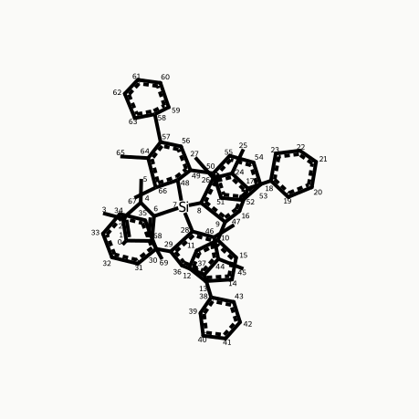 CC1=C(C)C(C)C([Si](c2c(-c3ccccc3)cc(-c3ccccc3)c(C)c2C)(c2c(-c3ccccc3)cc(-c3ccccc3)c(C)c2C)c2c(-c3ccccc3)cc(-c3ccccc3)c(C)c2C)=C1C